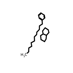 C1CCC2CCCCC2C1.CCCCCCCCCCCCc1ccccc1